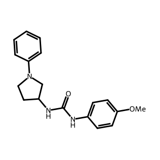 COc1ccc(NC(=O)NC2CCN(c3ccccc3)C2)cc1